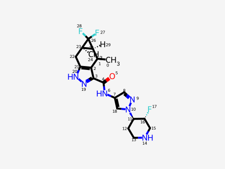 CC1c2c(C(=O)Nc3cnn([C@@H]4CCNC[C@H]4F)c3)n[nH]c2C[C@]2(C)[C@H]1C2(F)F